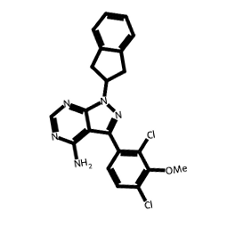 COc1c(Cl)ccc(-c2nn(C3Cc4ccccc4C3)c3ncnc(N)c23)c1Cl